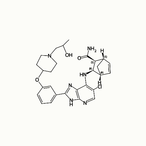 CC(O)CN1CCC(Oc2cccc(-c3nc4c(N[C@H]5[C@@H](C(N)=O)[C@@H]6C=C[C@H]5C6)c(Cl)cnc4[nH]3)c2)CC1